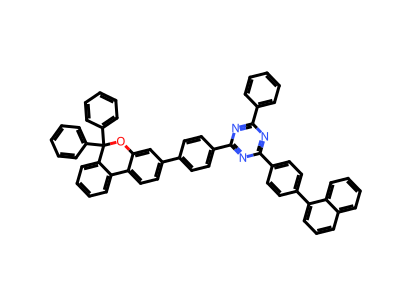 c1ccc(-c2nc(-c3ccc(-c4ccc5c(c4)OC(c4ccccc4)(c4ccccc4)c4ccccc4-5)cc3)nc(-c3ccc(-c4cccc5ccccc45)cc3)n2)cc1